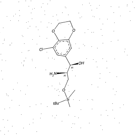 CC(C)(C)[Si](C)(C)OC[C@@H](N)[C@H](O)c1cc(Cl)c2c(c1)OCCO2